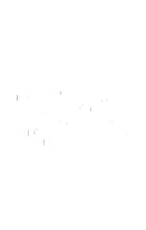 CC(C)(C)[Si](C)(C)CC([O])=O